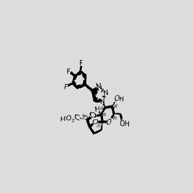 O=C(O)[C@@H]1O[C@@H]2[C@@H](n3cc(-c4cc(F)c(F)c(F)c4)nn3)[C@@H](O)[C@@H](CO)O[C@@]23CCC1O3